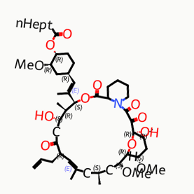 C=CC[C@@H]1/C=C(\C)C[C@H](C)C[C@H](OC)[C@H]2O[C@@](O)(C(=O)C(=O)N3CCCCC3C(=O)O[C@H](/C(C)=C/[C@@H]3CC[C@@H](OC(=O)CCCCCCC)[C@H](OC)C3)[C@H](C)[C@@H](O)CC1=O)[C@H](C)C[C@@H]2OC